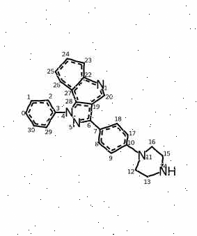 c1ccc(-n2nc(-c3ccc(N4CCNCC4)cc3)c3cnc4ccccc4c32)cc1